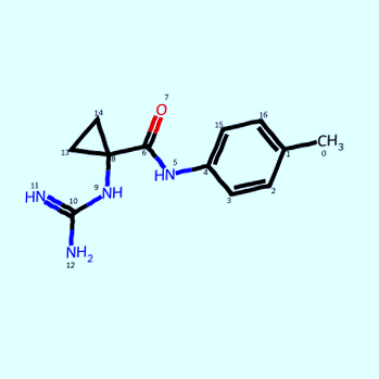 Cc1ccc(NC(=O)C2(NC(=N)N)CC2)cc1